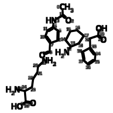 CC(=O)Nc1ccc(C=O)cc1.NC1CCCCC1.NCCCCC(N)C(=O)O.O=C(O)Cc1ccccc1